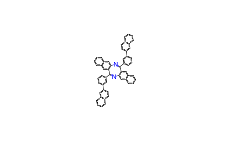 c1cc(/C2=N/c3cc4ccccc4cc3/C(c3cccc(-c4ccc5ccccc5c4)c3)=N\c3cc4ccccc4cc32)cc(-c2ccc3ccccc3c2)c1